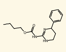 CCCCOC(=O)NC1=NC(c2ccccc2)CCN1